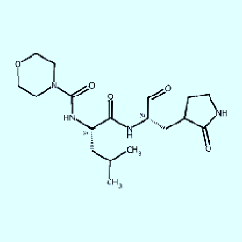 CC(C)C[C@H](NC(=O)N1CCOCC1)C(=O)N[C@H](C=O)CC1CCNC1=O